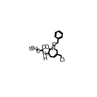 CC(C)(C)OC(=O)N[C@@H]1CC=C(CCl)CN(OCc2ccccc2)C1=O